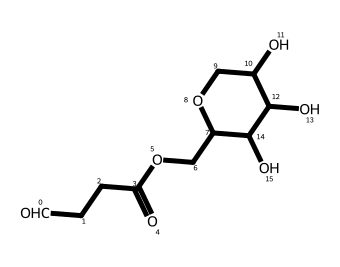 O=CCCC(=O)OCC1OCC(O)C(O)C1O